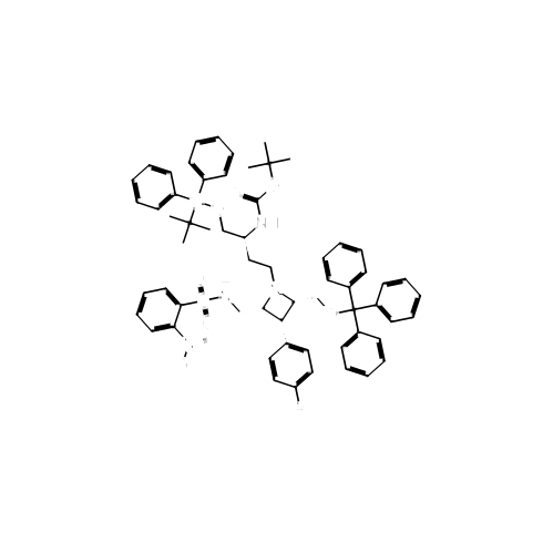 CC(C)(C)OC(=O)N[C@@H](CCN1[C@H](COC(c2ccccc2)(c2ccccc2)c2ccccc2)[C@H](c2ccc(Br)cc2)[C@@H]1CNS(=O)(=O)c1ccccc1[N+](=O)[O-])CO[Si](c1ccccc1)(c1ccccc1)C(C)(C)C